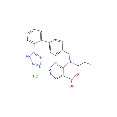 CCCN(Cc1ccc(-c2ccccc2-c2nnn[nH]2)cc1)c1ncncc1C(=O)O.Cl